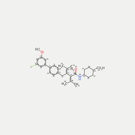 CCOc1cc(F)cc(-c2ccc(CC(=C(C)C)C(C(=O)NC3CCC(C(=O)O)CC3)=C(C)C)cc2)c1